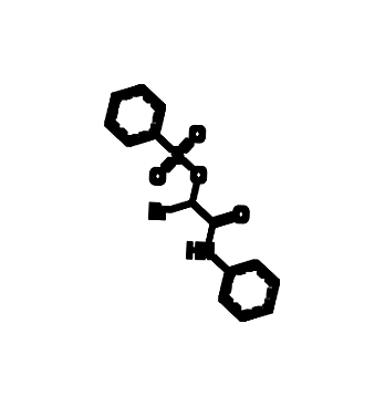 O=C(Nc1ccccc1)C(Br)OS(=O)(=O)c1ccccc1